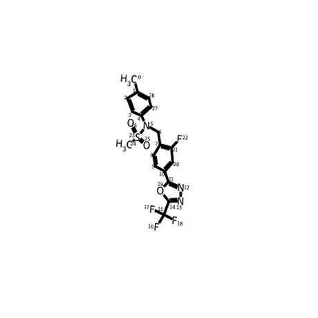 Cc1ccc(N(Cc2ccc(-c3nnc(C(F)(F)F)o3)cc2F)S(C)(=O)=O)cc1